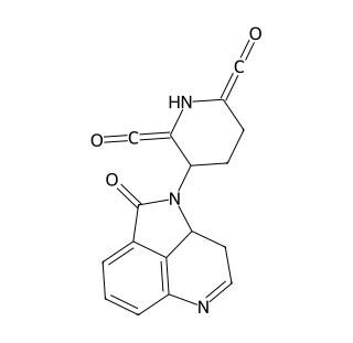 O=C=C1CCC(N2C(=O)c3cccc4c3C2CC=N4)C(=C=O)N1